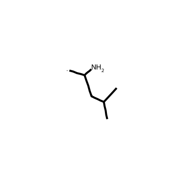 [CH2]C(N)CC(C)C